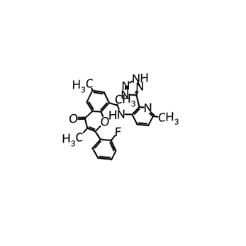 Cc1cc([C@@H](C)Nc2ccc(C)nc2-c2nn[nH]n2)c2oc(-c3ccccc3F)c(C)c(=O)c2c1